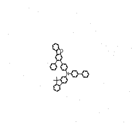 CC1(C)c2ccccc2-c2ccc(N(c3ccc(-c4ccccc4)cc3)c3ccc(-c4cc5oc6ccccc6c5cc4-c4ccccc4)cc3)cc21